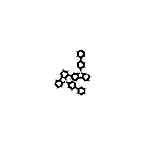 c1ccc(-c2ccc(-n3c4cc(-c5cccc6c7ccccc7n(-c7ccc(-c8ccccc8)cc7)c56)ccc4c4cccnc43)cc2)cc1